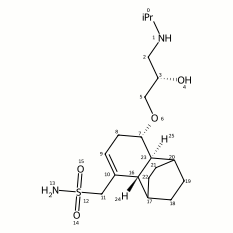 CC(C)NC[C@H](O)CO[C@H]1CC=C(CS(N)(=O)=O)[C@H]2C3CCC(CC3)[C@H]12